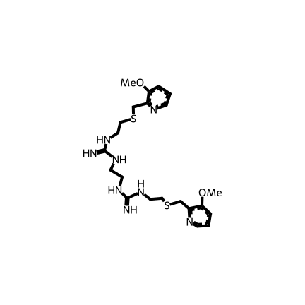 COc1cccnc1CSCCNC(=N)NCCNC(=N)NCCSCc1ncccc1OC